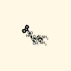 Nc1nc(N)c2ncn(CC(=O)N(CCNC(=O)OCC3c4ccccc4-c4ccccc43)CC(=O)O)c2n1